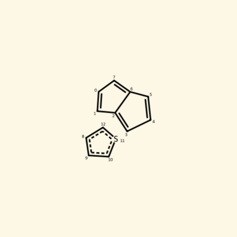 C1=CC2=CC=CC2=C1.c1ccsc1